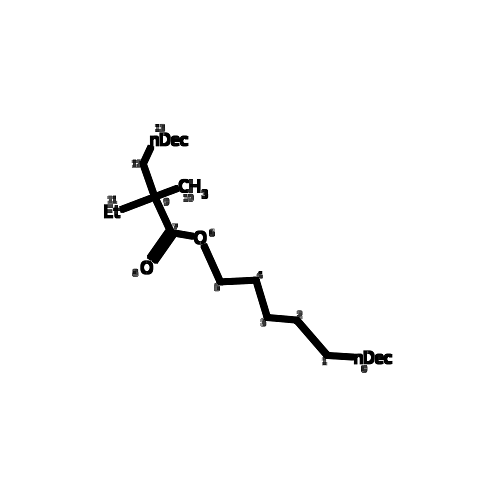 CCCCCCCCCCCCCCCOC(=O)C(C)(CC)CCCCCCCCCCC